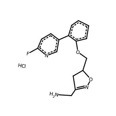 Cl.NCC1=NOC(COc2ccccc2-c2ccc(F)nc2)C1